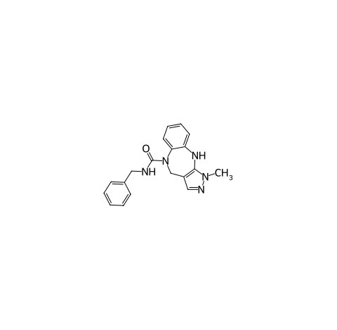 Cn1ncc2c1Nc1ccccc1N(C(=O)NCc1ccccc1)C2